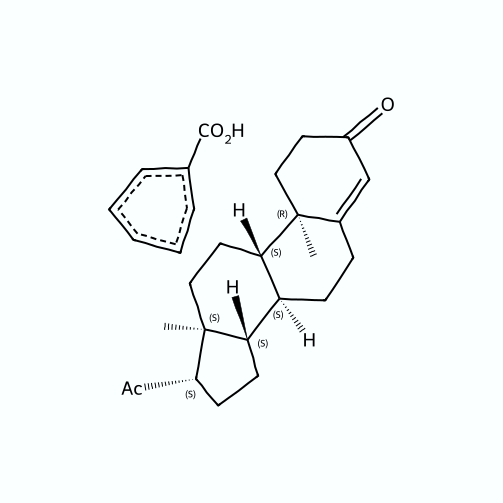 CC(=O)[C@H]1CC[C@H]2[C@@H]3CCC4=CC(=O)CC[C@]4(C)[C@H]3CC[C@]12C.O=C(O)c1ccccc1